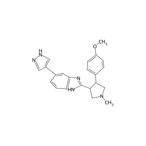 COc1ccc(C2CN(C)CC2c2nc3cc(-c4cn[nH]c4)ccc3[nH]2)cc1